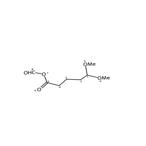 COC(CCCC(=O)OC=O)OC